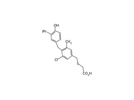 Cc1cc(CSCC(=O)O)cc(Cl)c1Cc1ccc(O)c(C(C)C)c1